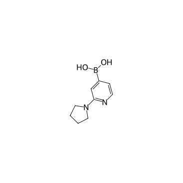 OB(O)c1ccnc(N2CCCC2)c1